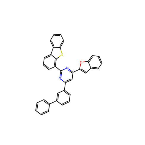 c1ccc(-c2cccc(-c3cc(-c4cc5ccccc5o4)nc(-c4cccc5c4sc4ccccc45)n3)c2)cc1